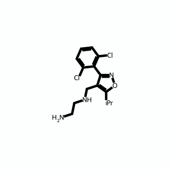 CC(C)c1onc(-c2c(Cl)cccc2Cl)c1CNCCN